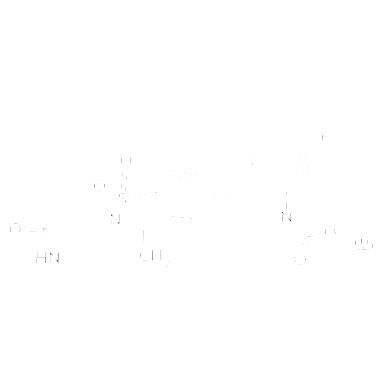 CC1c2cc(-c3cn(C(=O)OC(C)(C)C)c4cc(F)ccc34)ccc2S(=O)(=O)N1C1CNC(=O)C1